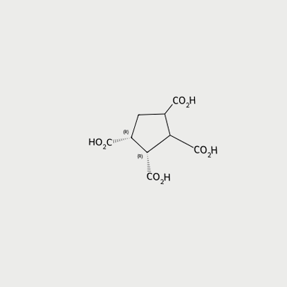 O=C(O)C1C[C@@H](C(=O)O)[C@@H](C(=O)O)C1C(=O)O